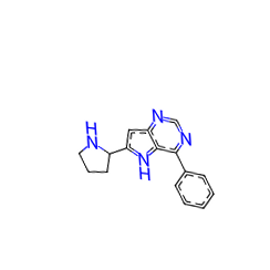 c1ccc(-c2ncnc3cc(C4CCCN4)[nH]c23)cc1